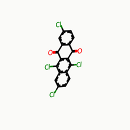 O=C1c2ccc(Cl)cc2C(=O)c2c1c(Cl)c1ccc(Cl)cc1c2Cl